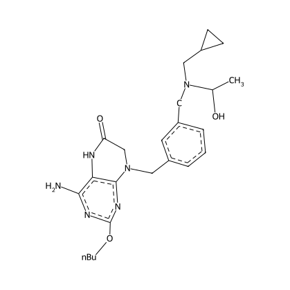 CCCCOc1nc(N)c2c(n1)N(Cc1cccc(CN(CC3CC3)C(C)O)c1)CC(=O)N2